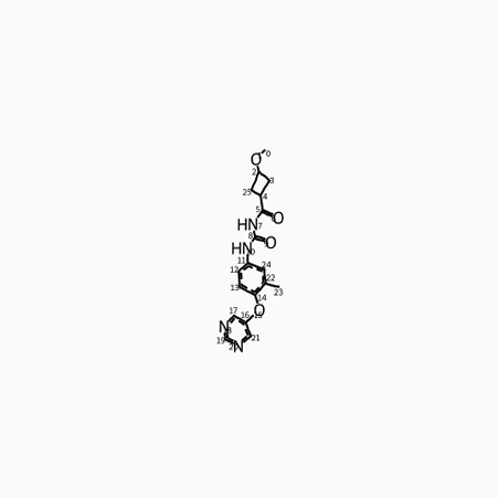 COC1CC(C(=O)NC(=O)Nc2ccc(Oc3cncnc3)c(C)c2)C1